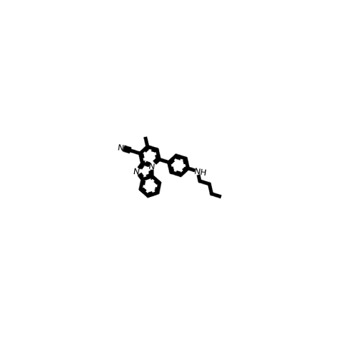 CCCCNc1ccc(-c2cc(C)c(C#N)c3nc4ccccc4n23)cc1